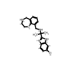 CC(C)(NCc1cccc2c1OCCNC2)c1nc2ccc(Cl)cc2[nH]1